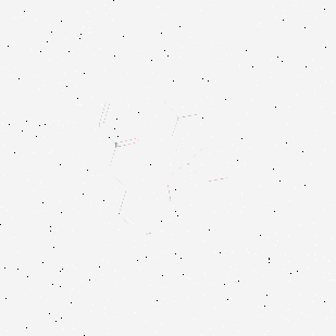 C=CC(=O)OCCCCCCCCCCCC.CCO[Si](C)(OCC)OC(C)S